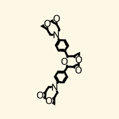 c1cc(N(CC2CO2)CC2CO2)ccc1C(OC(c1ccc(N(CC2CO2)CC2CO2)cc1)C1CO1)C1CO1